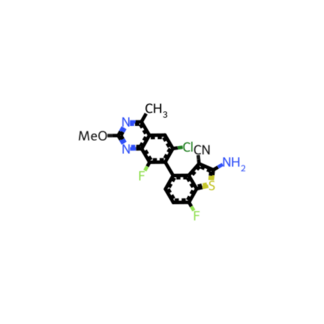 COc1nc(C)c2cc(Cl)c(-c3ccc(F)c4sc(N)c(C#N)c34)c(F)c2n1